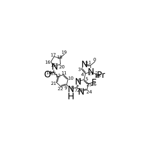 Cc1ncc(-c2nc(Nc3ccc(C(=O)N4CCC(C)C4)cc3)ncc2F)n1C(C)C